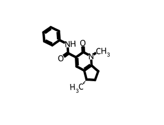 C[C@H]1CCc2c1cc(C(=O)Nc1ccccc1)c(=O)n2C